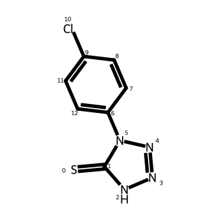 S=c1[nH]nnn1-c1ccc(Cl)cc1